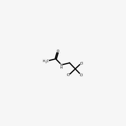 CC(=O)N[CH]C(Cl)(Cl)Cl